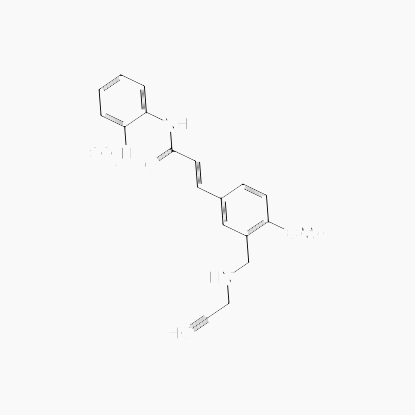 C#CCNCc1cc(C=CC(=O)Nc2ccccc2C(=O)O)ccc1OC